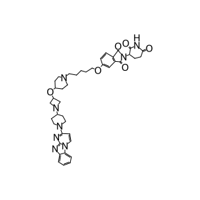 O=C1CCC(N2C(=O)c3ccc(OCCCCCN4CCC(OC5CN(C6CCN(c7ccn8c(n7)nc7ccccc78)CC6)C5)CC4)cc3C2=O)C(=O)N1